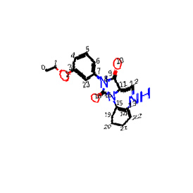 CCOc1cccc(-n2c(=O)c3c[nH]c4c(n-3c2=O)CCCC4)c1